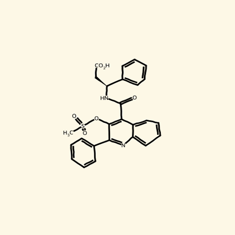 CS(=O)(=O)Oc1c(-c2ccccc2)nc2ccccc2c1C(=O)N[C@@H](CC(=O)O)c1ccccc1